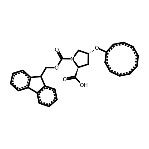 O=C(O)[C@@H]1C[C@@H](Oc2ccccccccc2)CN1C(=O)OCC1c2ccccc2-c2ccccc21